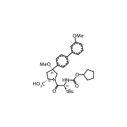 COc1cccc(-c2ccc([C@]3(OC)C[C@@H](C(=O)O)N(C(=O)[C@@H](NC(=O)OC4CCCC4)C(C)(C)C)C3)cc2)c1